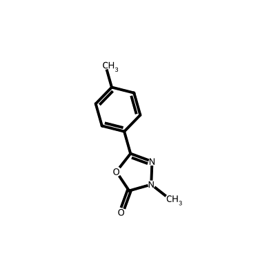 Cc1ccc(-c2nn(C)c(=O)o2)cc1